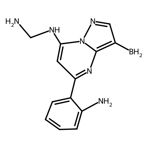 Bc1cnn2c(NCN)cc(-c3ccccc3N)nc12